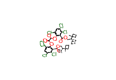 CCC(COC(=O)c1c(Cl)c(Cl)cc(Cl)c1OC(=O)C(=O)Oc1c(Cl)cc(Cl)c(Cl)c1C(=O)OCC(CC)C1(C)CCC1)C1(C)CCC1